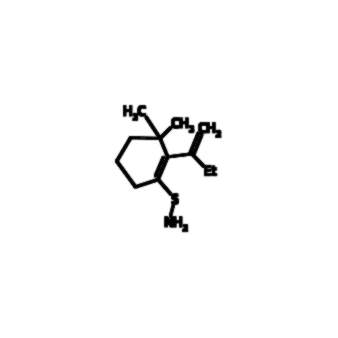 C=C(CC)C1=C(SN)CCCC1(C)C